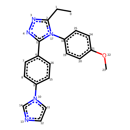 CCc1nnc(-c2ccc(-n3ccnc3)cc2)n1-c1ccc(OC)cc1